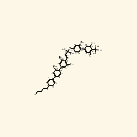 CCCCCc1ccc(-c2ccc(-c3cc(F)c(/C=C/C(F)(F)Oc4ccc(-c5cc(F)c(C(F)(F)F)c(F)c5)c(F)c4)c(F)c3)c(F)c2)cc1